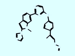 C=NN/C=C(\C)c1ccc(Nc2ccnc(-c3ccc4cc(-n5ccnc5)n(C)c4c3)n2)cc1